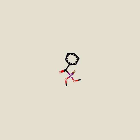 COP(=S)(OC)C(=O)c1ccccc1